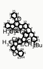 CC(C)(C)c1ccc(/C=C(/Cc2ccc3c(c2)C(C)(C)c2c4c(c5c(oc6ccccc65)c2-3)-c2ccccc2C4(C)C)c2ccc3c(c2)C(C)(C)c2cc4c(cc2-3)C(C)(C)c2ccc3oc5ccccc5c3c2-4)cc1